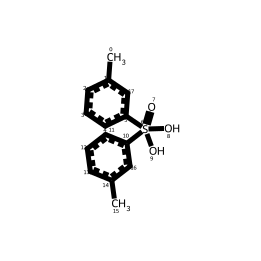 Cc1cccc(S(=O)(O)(O)c2cccc(C)c2)c1